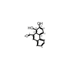 O=Cc1cc2ccccc2c2ccc(O)c(O)c12